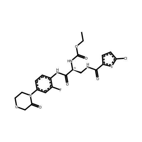 CCOC(=O)N[C@@H](CNC(=O)c1ccc(Cl)s1)C(=O)Nc1ccc(N2CCOCC2=O)cc1F